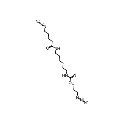 [N-]=[N+]=NCCCCC(=O)NCCCCCCNC(=O)OCCCN=[N+]=[N-]